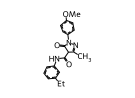 CCc1cccc(NC(=O)C2C(=O)N(c3ccc(OC)cc3)N=C2C)c1